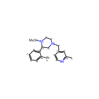 CSN1CCN(Cc2ccnc(C)c2)CC1c1ccccc1C(C)C